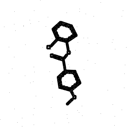 COc1ccc(C(=O)Oc2ccccc2Cl)cc1